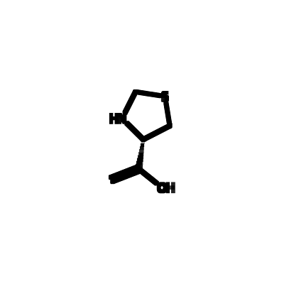 C=C(O)[C@H]1CSCN1